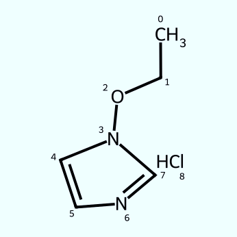 CCOn1ccnc1.Cl